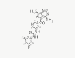 Cn1cc(C(=O)c2cncc(NC(=O)Nc3cc(F)cc(F)c3)c2)c2c(N)ncnc21